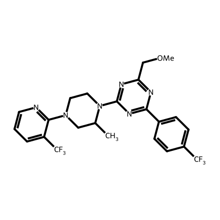 COCc1nc(-c2ccc(C(F)(F)F)cc2)nc(N2CCN(c3ncccc3C(F)(F)F)CC2C)n1